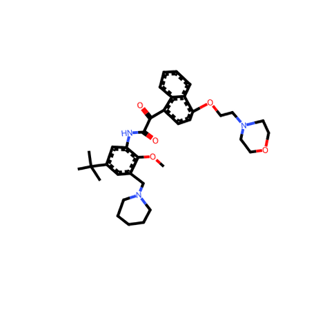 COc1c(CN2CCCCC2)cc(C(C)(C)C)cc1NC(=O)C(=O)c1ccc(OCCN2CCOCC2)c2ccccc12